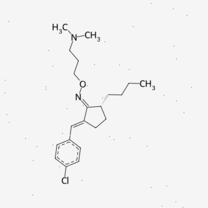 CCCC[C@@H]1CCC(=C\c2ccc(Cl)cc2)/C1=N/OCCCN(C)C